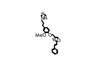 COc1cc(CCCn2cncn2)ccc1OCc1coc(C=Cc2ccccc2)n1